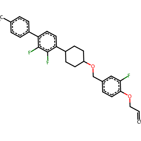 C=CCOc1ccc(COC2CCC(c3ccc(-c4ccc(C)cc4)c(F)c3F)CC2)cc1F